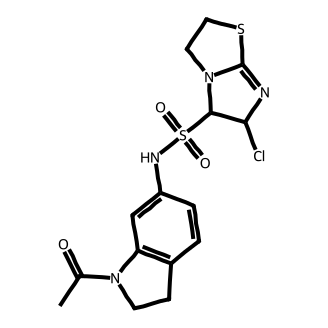 CC(=O)N1CCc2ccc(NS(=O)(=O)C3C(Cl)N=C4SCCN43)cc21